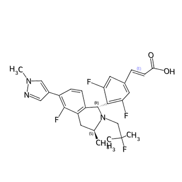 C[C@H]1Cc2c(ccc(-c3cnn(C)c3)c2F)[C@H](c2c(F)cc(/C=C/C(=O)O)cc2F)N1CC(C)(C)F